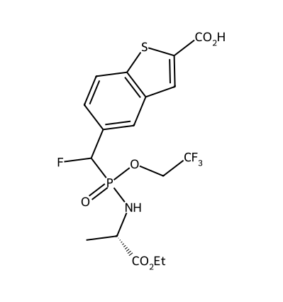 CCOC(=O)[C@H](C)NP(=O)(OCC(F)(F)F)C(F)c1ccc2sc(C(=O)O)cc2c1